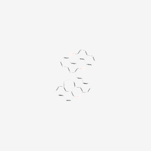 c1cc2c3c4c(ccc3c1)Oc1cccc3cc(-c5cc6cccc7oc8ccc9cccc%10oc5c(c67)-c8c9%10)c(c-4c13)CC2